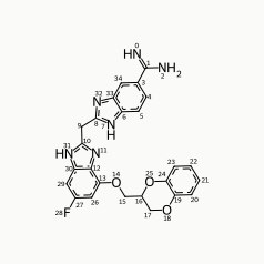 N=C(N)c1ccc2[nH]c(Cc3nc4c(OCC5COc6ccccc6O5)cc(F)cc4[nH]3)nc2c1